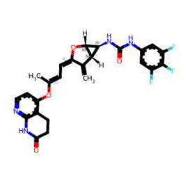 C=C1/C(=C\C=C(/C)Oc2ccnc3c2CCC(=O)N3)O[C@@H]2[C@@H](NC(=O)Nc3cc(F)c(F)c(F)c3)[C@H]12